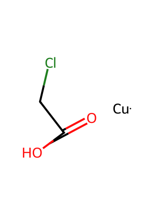 O=C(O)CCl.[Cu]